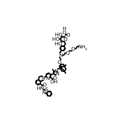 Cc1c(-c2ccc(N3CCc4cccc(C(=O)Nc5nc6ccccc6s5)c4C3)nc2C(=O)O)cnn1CC12CC3(C)CC(C)(C1)CC(OCCN(CCOCCOCCN)Cc1ccc(CC4O[C@H](C(=O)O)[C@H](O)[C@@H](O)[C@H]4O)cc1)(C3)C2